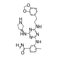 Cc1ccc(C(N)=O)cc1Nc1nc(NCCc2ccc3c(c2)OCO3)nc(N[C@H]2CCNC2)n1